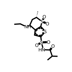 CCN[C@H]1C[C@H](C)S(=O)(=O)c2sc(S(=O)(=O)NC(=O)C(C)C)cc21